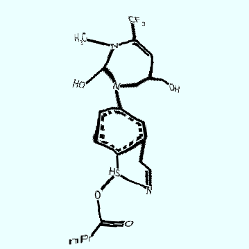 CCCC(=O)O[SH]1N=Cc2cc(N3C(O)C=C(C(F)(F)F)N(C)C3O)ccc21